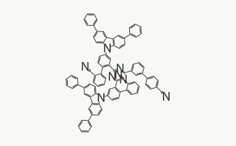 N#Cc1ccc(-c2cccc(-c3nc(-c4cc(-n5c6ccc(-c7ccccc7)cc6c6cc(-c7ccccc7)ccc65)ccc4-c4ccccc4C#N)nc(-c4cc(-n5c6ccc(-c7ccccc7)cc6c6cc(-c7ccccc7)ccc65)ccc4-c4ccccc4C#N)n3)c2)cc1